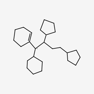 C1=C([C](C2CCCCC2)C(CCC2CCCC2)C2CCCC2)CCCC1